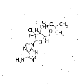 CC(C)O[P@]1(=O)OC[C@H]2O[C@@H](n3cnc4c(N)ncnc43)[C@](F)(Cl)[C@@H]2O1